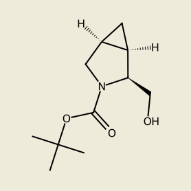 CC(C)(C)OC(=O)N1C[C@H]2C[C@H]2[C@H]1CO